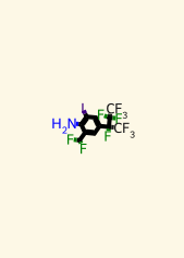 Nc1c(I)cc(C(F)(C(F)(F)F)C(F)(F)C(F)(F)F)cc1C(F)F